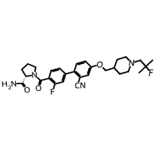 CC(C)(F)CN1CCC(COc2ccc(-c3ccc(C(=O)N4CCC[C@H]4C(N)=O)c(F)c3)c(C#N)c2)CC1